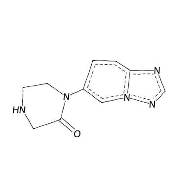 O=C1CNCCN1c1ccc2ncnn2c1